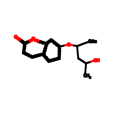 CC(=O)OC(CC(C)O)Oc1ccc2ccc(=O)oc2c1